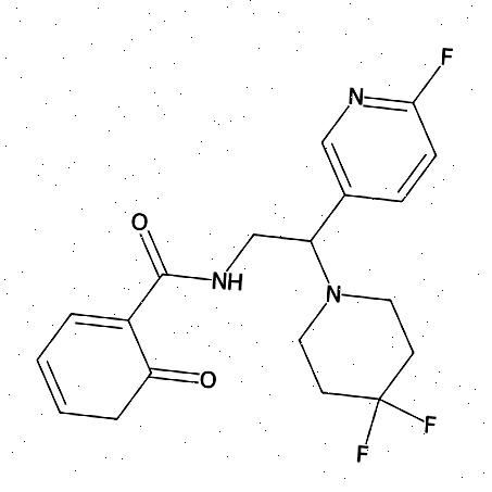 O=C1CC=CC=C1C(=O)NCC(c1ccc(F)nc1)N1CCC(F)(F)CC1